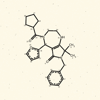 CC1(C)C2=C(C(=O)N1Cc1ccccc1)C(c1ccco1)N(C(=O)C1CCCC1)CCN2